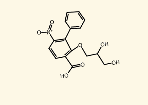 O=C(O)c1ccc([N+](=O)[O-])c(-c2ccccc2)c1OCC(O)CO